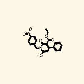 CCOC(=O)c1c(-c2ccccc2)cc(O)n(Cc2ccc([N+](=O)[O-])cc2)c1=O